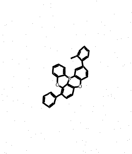 Cc1ccccc1-c1ccc2c(c1)B1c3ccccc3Oc3c(-c4ccccc4)ccc(c31)O2